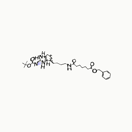 CC(C)(C)OC(=O)/N=C1/N[C@H]2[C@H](CS[C@H]2CCCCNC(=O)CCCCCC(=O)OCc2ccccc2)N1